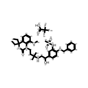 CCC1(CC)OC(=O)N(CCC(C)(C)NCC(O)c2ccc(OCc3ccccc3)c(NS(C)(=O)=O)c2)c2c(OC)cccc21.O=C(O)C(F)(F)F